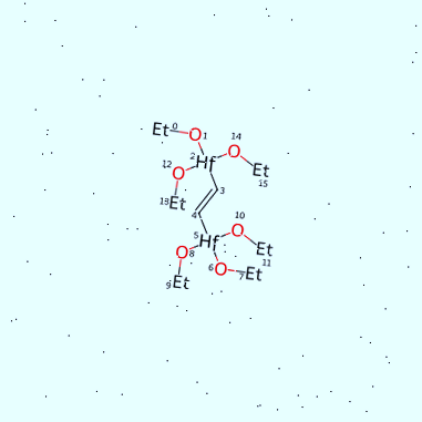 CC[O][Hf]([CH]=[CH][Hf]([O]CC)([O]CC)[O]CC)([O]CC)[O]CC